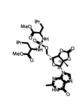 COC(=O)C(CC(C)C)NP(=O)(NC(CC(C)C)C(=O)OC)OC[C@H]1O[C@@H](n2cnc3c(=O)[nH]c(C)nc32)[C@@]2(C)OC(=O)OC12